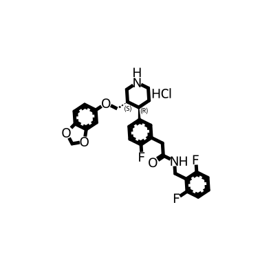 Cl.O=C(Cc1cc([C@@H]2CCNC[C@H]2COc2ccc3c(c2)OCO3)ccc1F)NCc1c(F)cccc1F